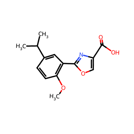 COc1ccc(C(C)C)cc1-c1nc(C(=O)O)co1